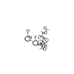 CC(=O)O[C@H](C)C(=O)N1C2CC(C2)[C@H](N[S+](C)[O-])[C@@H]1Cc1cccc(-c2cccc(C3CC3)n2)c1F